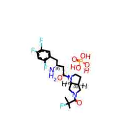 CC(C)(F)C(=O)N1C[C@@H]2CCN(C(=O)C[C@H](N)Cc3cc(F)c(F)cc3F)[C@@H]2C1.O=P(O)(O)O